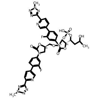 CC(O)CC(OP(=O)([O-])O)[C@H]1C[N+](OC[C@H]2CN(c3ccc(-c4ccc(-c5nnn(C)n5)nc4)c(F)c3)C(=O)O2)(c2ccc(-c3ccc(-c4nnn(C)n4)nc3)c(F)c2)C(=O)O1